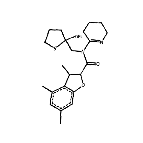 CCCC1(CN(C(=O)C2Oc3cc(C)cc(C)c3C2C)C2=NCCCC2)CCCS1